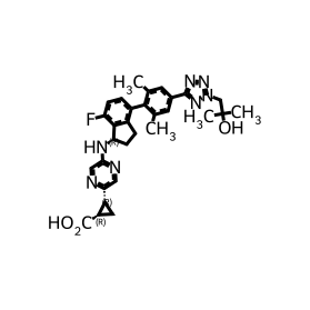 Cc1cc(-c2nnn(CC(C)(C)O)n2)cc(C)c1-c1ccc(F)c2c1CC[C@H]2Nc1cnc([C@@H]2C[C@H]2C(=O)O)cn1